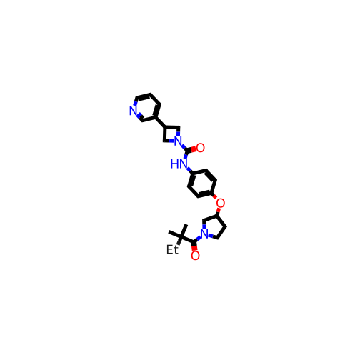 CCC(C)(C)C(=O)N1CCC(Oc2ccc(NC(=O)N3CC(c4cccnc4)C3)cc2)C1